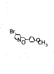 COc1ccc(C(=O)Cc2cc(Br)ccn2)cc1